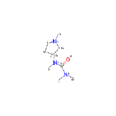 CN1CC[C@@H](N(C)C(=O)N(C)C)C1